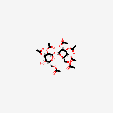 CC(=O)OC[C@H]1O[C@@H](O[C@H]2O[C@H](COC(C)=O)[C@@H](OC(C)=O)[C@H](OC(C)=O)[C@H]2OC(C)=O)[C@H](OC(C)=O)[C@@H](OC(C)=O)[C@@H]1O